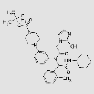 Cc1ccccc1C(C(=O)NC1CCCCC1)N(C(=O)Cn1ccnc1C)c1cccc(N2CCN(C(=O)OC(C)(C)C)CC2)c1